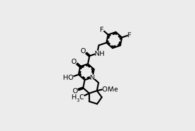 COC12CCCC1(C)C(=O)c1c(O)c(=O)c(C(=O)NCc3ccc(F)cc3F)cn1C2